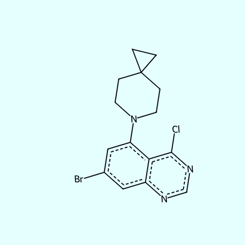 Clc1ncnc2cc(Br)cc(N3CCC4(CC3)CC4)c12